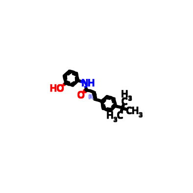 CC(C)(C)c1ccc(/C=C/C(=O)Nc2cccc(O)c2)cc1